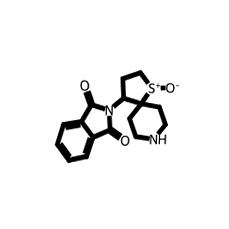 O=C1c2ccccc2C(=O)N1C1CC[S+]([O-])C12CCNCC2